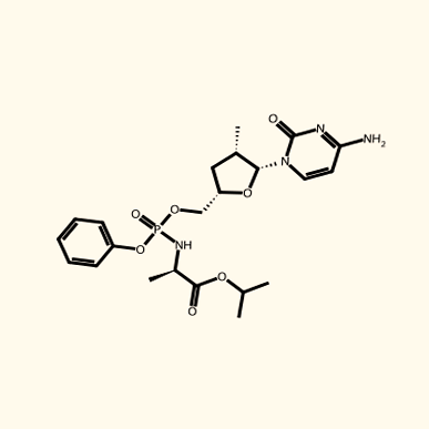 CC(C)OC(=O)[C@@H](C)NP(=O)(OC[C@@H]1C[C@H](C)[C@H](n2ccc(N)nc2=O)O1)Oc1ccccc1